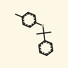 Cc1ccc(OC(C)(C)c2ccccc2)cc1